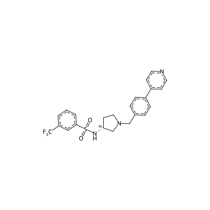 O=S(=O)(N[C@@H]1CCN(Cc2ccc(-c3ccncc3)cc2)C1)c1cccc(C(F)(F)F)c1